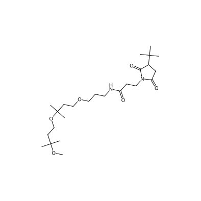 COC(C)(C)CCOC(C)(C)CCOCCCNC(=O)CCN1C(=O)CC(C(C)(C)C)C1=O